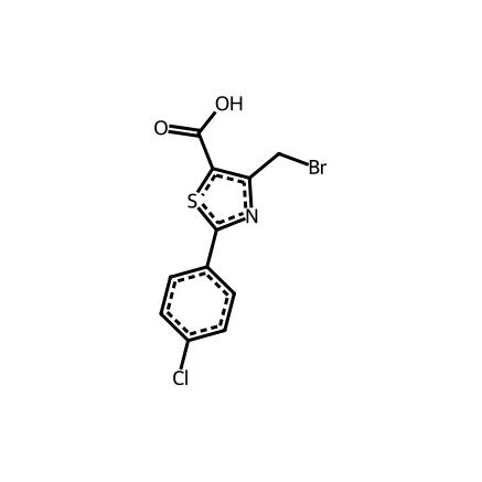 O=C(O)c1sc(-c2ccc(Cl)cc2)nc1CBr